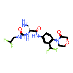 NC[C@@H](NC(=O)NCC(F)F)C(=O)Nc1ccc(N2CCOCC2=O)c(C(F)F)c1